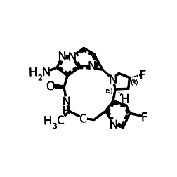 CC1CCc2ncc(F)cc2[C@@H]2C[C@@H](F)CN2c2ccn3nc(N)c(c3n2)C(=O)N1